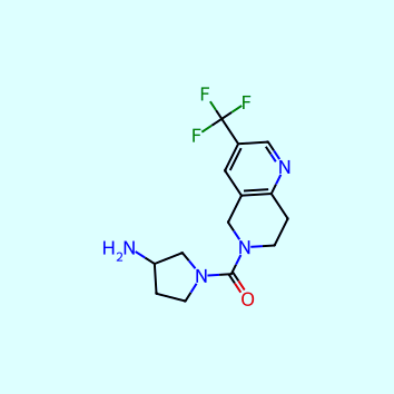 NC1CCN(C(=O)N2CCc3ncc(C(F)(F)F)cc3C2)C1